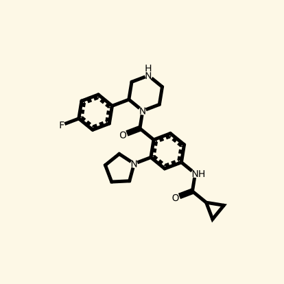 O=C(Nc1ccc(C(=O)N2CCNCC2c2ccc(F)cc2)c(N2CCCC2)c1)C1CC1